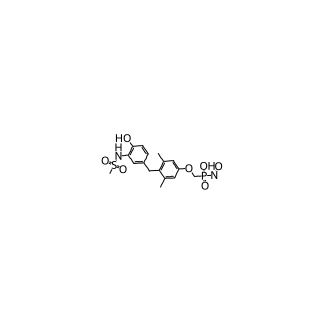 Cc1cc(OCP(=O)(O)N=O)cc(C)c1Cc1ccc(O)c(NS(C)(=O)=O)c1